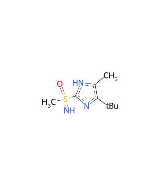 Cc1[nH]c(S(C)(=N)=O)nc1C(C)(C)C